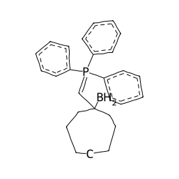 BC1(C=P(c2ccccc2)(c2ccccc2)c2ccccc2)CCCCCCC1